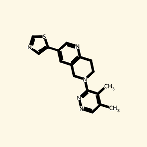 Cc1cnnc(N2CCc3ncc(-c4cncs4)cc3C2)c1C